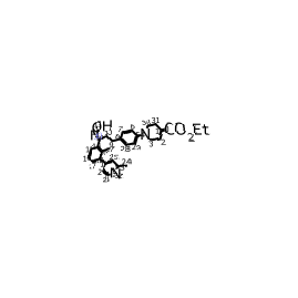 CCOC(=O)C1CCN(c2ccc(CC/C(=N\O)c3cccc(-c4ccnc(C)c4)c3C)cc2)CC1